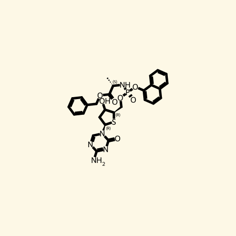 C[C@H](NP(=O)(OC[C@H]1S[C@@H](n2cnc(N)nc2=O)CC1O)Oc1cccc2ccccc12)C(=O)OCc1ccccc1